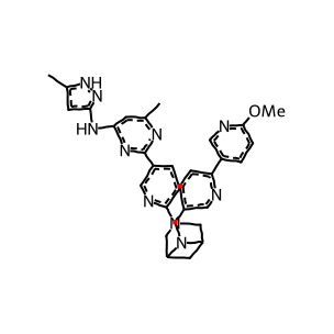 COc1ccc(-c2ccc(CN3C4CC3CN(c3ccc(-c5nc(C)cc(Nc6cc(C)[nH]n6)n5)cn3)C4)cn2)cn1